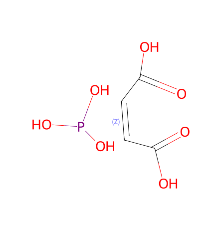 O=C(O)/C=C\C(=O)O.OP(O)O